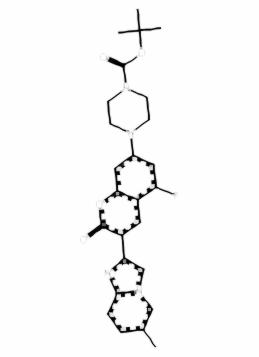 Cc1ccc2nc(-c3cc4c(F)cc(N5CCN(C(=O)OC(C)(C)C)CC5)cc4oc3=O)cn2c1